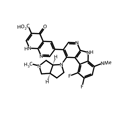 CNc1cc(F)c(F)c2c1[nH]c1ncc(-c3cnc4[nH]cc(C(=O)O)c(=O)c4c3)c(N3CC[C@H]4CN(C)C[C@H]43)c12